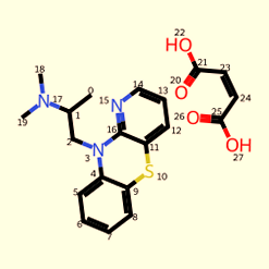 CC(CN1c2ccccc2Sc2cccnc21)N(C)C.O=C(O)/C=C\C(=O)O